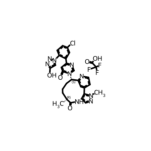 C[C@@H]1CCC[C@H](n2cnc(-c3cc(Cl)ccc3-n3cc(O)nn3)cc2=O)c2cc(ccn2)-c2c(cnn2C)NC1=O.O=C(O)C(F)(F)F